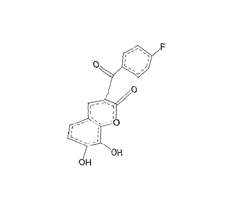 O=C(c1ccc(F)cc1)c1cc2ccc(O)c(O)c2oc1=O